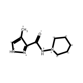 Cc1c[nH]nc1C(=O)NN1CCCCC1